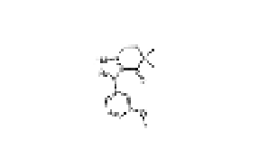 COc1cccc(-c2n[nH]c3c2C(=O)C(C)(C)CC3)c1